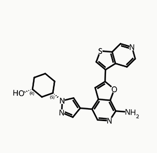 Nc1ncc(-c2cnn([C@H]3CCC[C@@H](O)C3)c2)c2cc(-c3csc4cnccc34)oc12